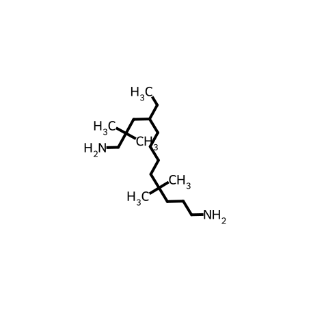 CCC(CCCCC(C)(C)CCCN)CC(C)(C)CN